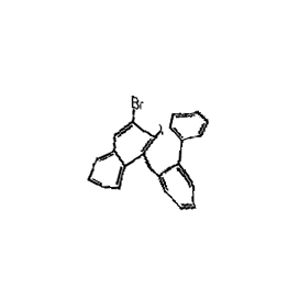 Brc1cc2ccccc2c(-c2ccccc2-c2ccccc2)c1I